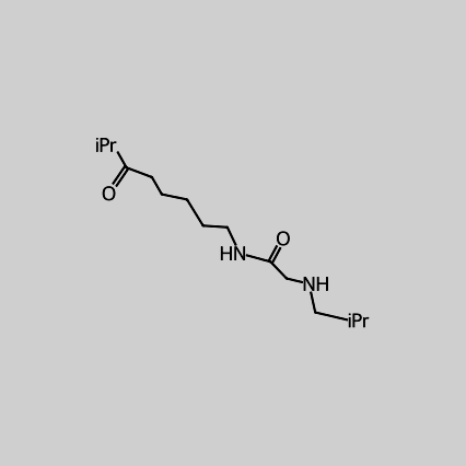 CC(C)CNCC(=O)NCCCCCC(=O)C(C)C